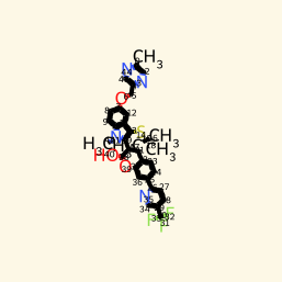 Cc1cnc(COc2ccc3c(c2)c(SC(C)(C)C)c(C(Cc2ccc(-c4ccc(C(F)(F)F)cn4)cc2)C(=O)O)n3C)cn1